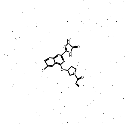 C=CC(=O)N1CCC(Oc2nc(-c3n[nH]c(=O)[nH]3)cc3ccc(F)cc23)C1